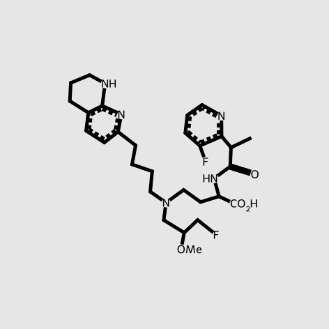 COC(CF)CN(CCCCc1ccc2c(n1)NCCC2)CCC(NC(=O)C(C)c1ncccc1F)C(=O)O